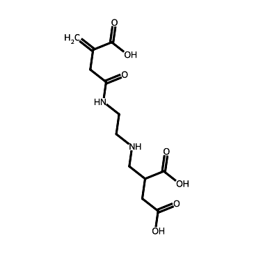 C=C(CC(=O)NCCNCC(CC(=O)O)C(=O)O)C(=O)O